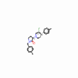 Cc1ccc(CN2CC[C@@H](N3CC[C@@H](c4ccc(C)cc4)[C@H](F)C3)C2=O)cc1